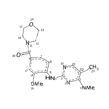 CNc1nc(Nc2ccc(C(=O)N3CCOCC3)cc2OC)ncc1C